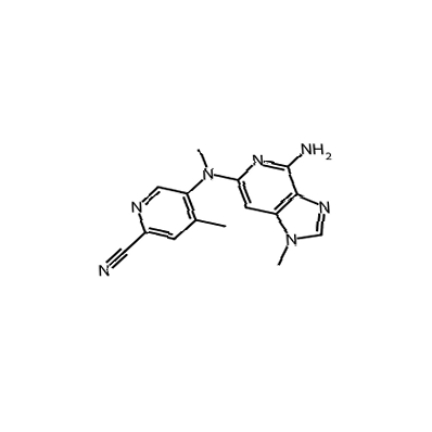 Cc1cc(C#N)ncc1N(C)c1cc2c(ncn2C)c(N)n1